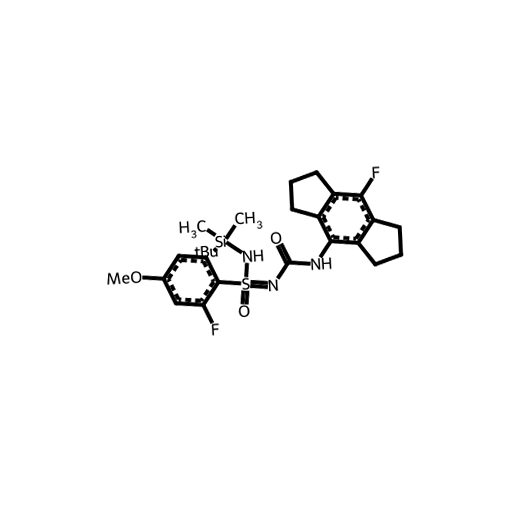 COc1ccc(S(=O)(=NC(=O)Nc2c3c(c(F)c4c2CCC4)CCC3)N[Si](C)(C)C(C)(C)C)c(F)c1